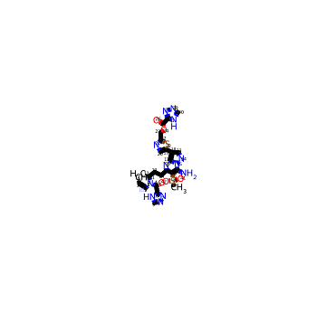 C/C=C\N(C(=O)c1nnc[nH]1)[C@H](C)CCc1nc2c(-c3cnc(COC(=O)c4nnc[nH]4)s3)cnn2c(N)c1S(C)(=O)=O